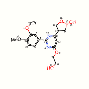 CCCOc1cc(-c2nc(OCCO)cc(C3COB(O)C3)n2)ccc1OC